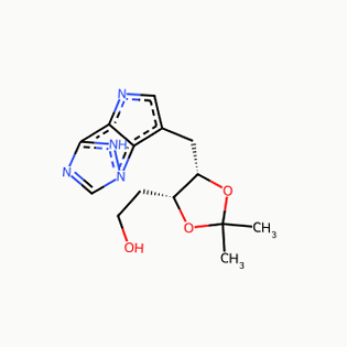 CC1(C)O[C@@H](Cc2cnc3c4[nH]n(c2-3)C=N4)[C@@H](CCO)O1